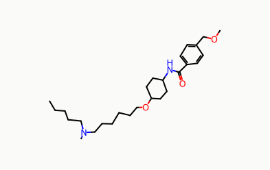 CCCCCN(C)CCCCCCOC1CCC(NC(=O)c2ccc(COC)cc2)CC1